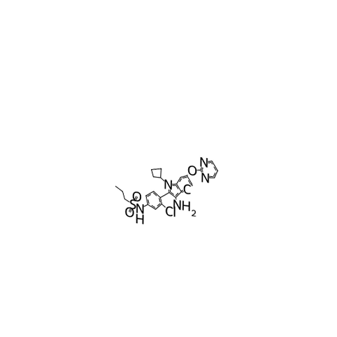 CCCS(=O)(=O)Nc1ccc(-c2c(N)c3ccc(Oc4ncccn4)cc3n2C2CCC2)c(Cl)c1